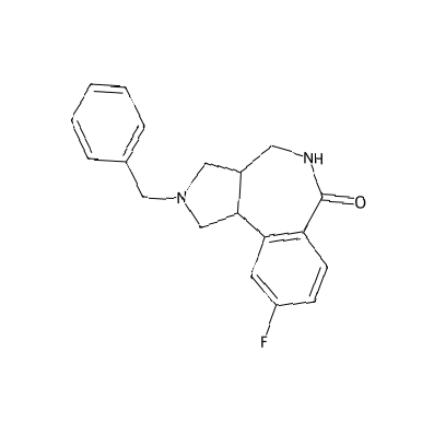 O=C1NCC2CN(Cc3ccccc3)CC2c2cc(F)ccc21